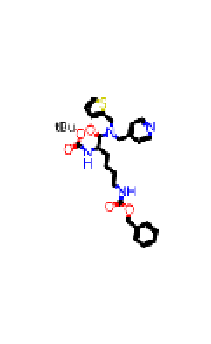 CC(C)(C)OC(=O)NC(CCCCNC(=O)OCc1ccccc1)C(=O)N(Cc1ccncc1)Cc1cccs1